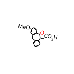 COc1ccc2c(c1)Cc1ccccc1C(CC(=O)O)C2=O